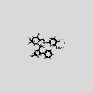 COc1nc(NCC2[C@H](C)CC(F)(F)CN2C(=O)c2nc(C)sc2-c2ccccc2)ncc1C(F)(F)F